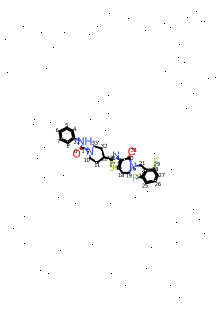 O=C(Nc1ccccc1)N1CCC(c2nc3c(s2)CCN(Cc2c(F)cccc2F)C3=O)CC1